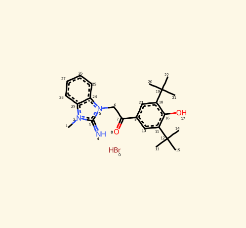 Br.Cn1c(=N)n(CC(=O)c2cc(C(C)(C)C)c(O)c(C(C)(C)C)c2)c2ccccc21